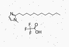 CCCCCCCCCCCCc1nccn1C.O=C(O)C(F)(F)F